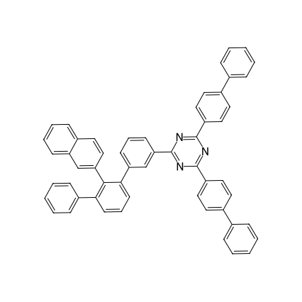 c1ccc(-c2ccc(-c3nc(-c4ccc(-c5ccccc5)cc4)nc(-c4cccc(-c5cccc(-c6ccccc6)c5-c5ccc6ccccc6c5)c4)n3)cc2)cc1